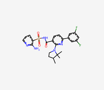 CC1CCN(c2nc(-c3cc(F)cc(F)c3)ccc2C(=O)NS(=O)(=O)c2cccnc2N)C1(C)C